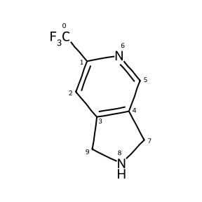 FC(F)(F)c1cc2c(cn1)CNC2